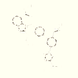 CCOc1nc2cccc(C(=O)OC)c2n1Cc1ccc(-c2cc(-n3cc(C(C)C)nn3)ccc2/C=N/C)cc1